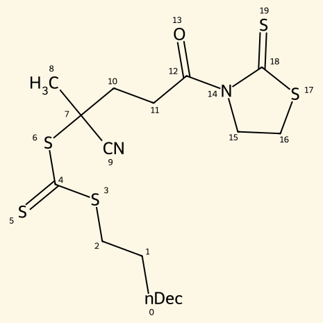 CCCCCCCCCCCCSC(=S)SC(C)(C#N)CCC(=O)N1CCSC1=S